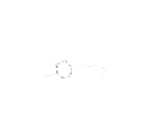 CN(C)CCOc1ccc(N)c(Cl)c1